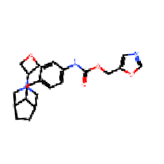 O=C(Nc1ccc(CC2C3CCC2CN(C2COC2)C3)cc1)OCc1cnco1